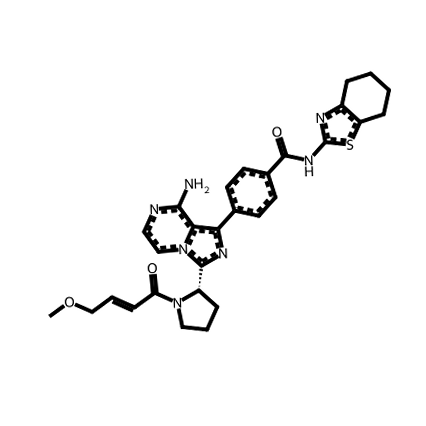 COCC=CC(=O)N1CCC[C@H]1c1nc(-c2ccc(C(=O)Nc3nc4c(s3)CCCC4)cc2)c2c(N)nccn12